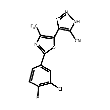 N#Cc1[nH]nnc1-c1sc(-c2ccc(F)c(Cl)c2)nc1C(F)(F)F